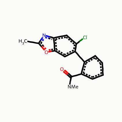 CNC(=O)c1ccccc1-c1cc2oc(C)nc2cc1Cl